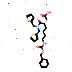 O=C(O)C[C@H](CCCCNC(=O)OCc1ccccc1)C(=O)N(Cc1cccs1)Cc1cccs1